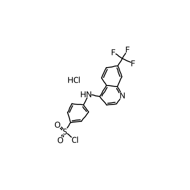 Cl.O=S(=O)(Cl)c1ccc(Nc2ccnc3cc(C(F)(F)F)ccc23)cc1